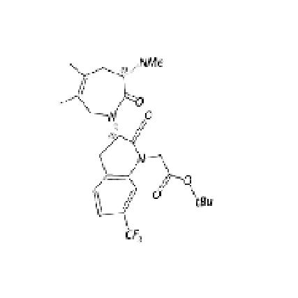 CN[C@H]1CC(C)=C(C)CN([C@H]2Cc3ccc(C(F)(F)F)cc3N(CC(=O)OC(C)(C)C)C2=O)C1=O